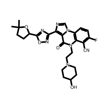 CC1(C)CCC(c2nc(-c3ncn4c3c(=O)n(CCN3CCC(O)CC3)c3c(C#N)c(F)ccc34)no2)O1